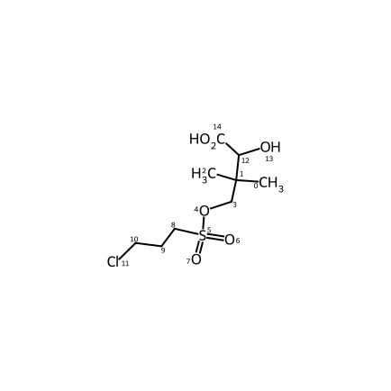 CC(C)(COS(=O)(=O)CCCCl)C(O)C(=O)O